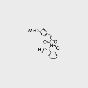 COc1ccc(C=C2OC(=O)N([C@H](C)c3ccccc3)C2=O)cc1